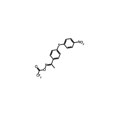 C/C(=N\OC(=O)C(F)(F)F)c1ccc(Sc2ccc([N+](=O)[O-])cc2)cc1